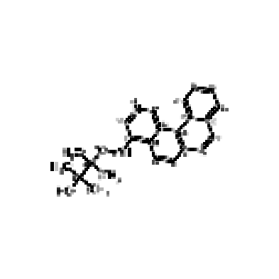 CC(C)(O)C(C)(C)OBc1cncc2c1ccc1ccc3ccccc3c12